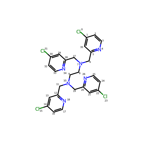 Clc1ccnc(CN(CCN(Cc2cc(Cl)ccn2)Cc2cc(Cl)ccn2)Cc2cc(Cl)ccn2)c1